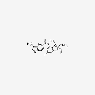 Cc1cnn2ccc(N[C@H](C)c3cc(F)cc4c3OC(CN)(CF)C4)nc12